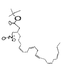 CC/C=C\C/C=C\C/C=C\C/C=C\C/C=C\CCCC(CC(=O)OC(C)(C)C)C[N+](=O)[O-]